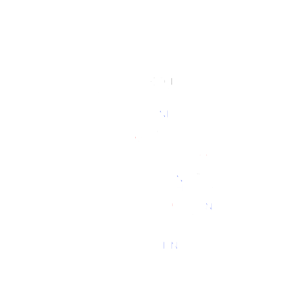 O=C(CC(Cc1ccccc1)NC(=O)C1CCCN1C(=O)C1CCCN1)NC(Cc1ccc(-c2ccccc2)cc1)C(=O)O